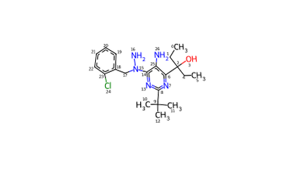 CCC(O)(CC)c1nc(C(C)(C)C)nc(N(N)Cc2ccccc2Cl)c1N